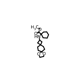 COC(=O)C1(NC2CC3(CCC4(CC3)OCCO4)C2)CCCCC1